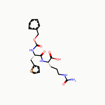 NC(=O)NCCC[C@H](NC(=O)[C@H](Cc1cccs1)NC(=O)OCc1ccccc1)C(=O)O